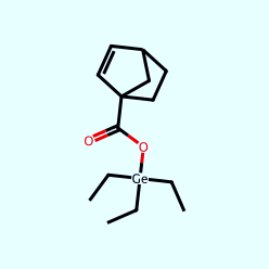 C[CH2][Ge]([CH2]C)([CH2]C)[O]C(=O)C12C=CC(CC1)C2